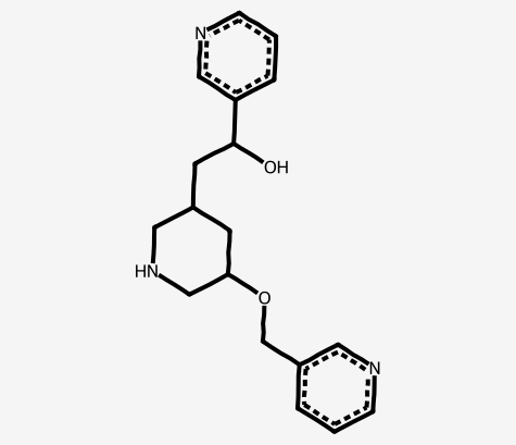 OC(CC1CNCC(OCc2cccnc2)C1)c1cccnc1